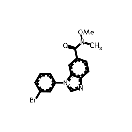 CON(C)C(=O)c1ccc2ncn(-c3cccc(Br)c3)c2c1